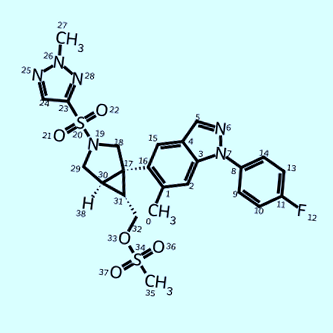 Cc1cc2c(cnn2-c2ccc(F)cc2)cc1[C@@]12CN(S(=O)(=O)c3cnn(C)n3)C[C@@H]1[C@H]2COS(C)(=O)=O